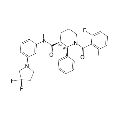 Cc1cccc(F)c1C(=O)N1CCC[C@H](C(=O)Nc2cccc(N3CCC(F)(F)C3)c2)[C@@H]1c1ccccc1